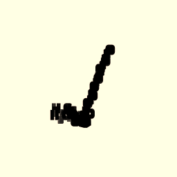 Cc1nc(NC(=O)c2ccccc2OC(=O)CCOCCOCCOCCOCCOCCOCCC=O)sc1C